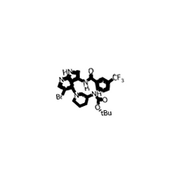 CC(C)(C)OC(=O)NC1CCCN(c2c(Br)cnc3[nH]cc(NC(=O)c4cccc(C(F)(F)F)c4)c23)C1